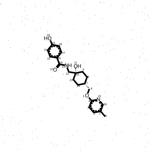 Cc1ccc(OC[C@H]2CC[C@](O)(CNC(=O)c3ccc(O)cc3)CC2)nc1